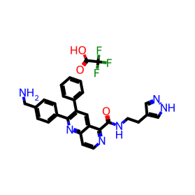 NCc1ccc(-c2nc3ccnc(C(=O)NCCc4cn[nH]c4)c3cc2-c2ccccc2)cc1.O=C(O)C(F)(F)F